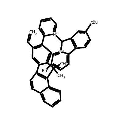 C=Cc1cc2c(cc1-c1cccc[n+]1C1c3cc(C(C)(C)C)ccc3-c3ccc(C(C)(C)C)c[n+]31)C(C)(C)c1c-2ccc2ccccc12